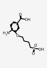 Nc1ccc(C(=O)O)cc1OCCCCS(=O)(=O)O